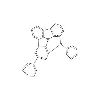 c1ccc(-c2cc3c4c(c2)N(c2ccccc2)c2cccc5c2B4c2c-5cccc2-3)cc1